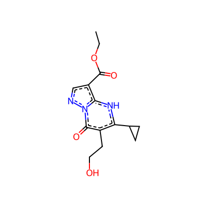 CCOC(=O)c1cnn2c(=O)c(CCO)c(C3CC3)[nH]c12